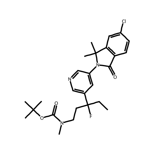 CCC(F)(CCN(C)C(=O)OC(C)(C)C)c1cncc(N2C(=O)c3ccc(Cl)cc3C2(C)C)c1